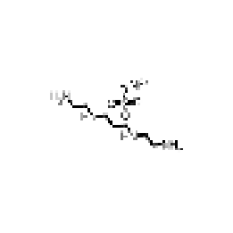 NCCNCCCNCCN.O=S(=O)([O-])[O-].[Ni+2]